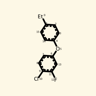 CCc1ccc(Oc2ccc(Cl)c(F)c2)cc1